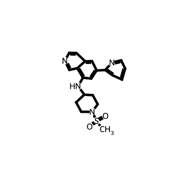 CS(=O)(=O)N1CCC(Nc2cc(-c3ccccn3)cc3ccncc23)CC1